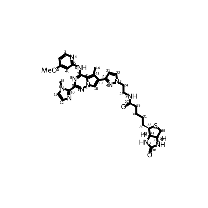 COc1ccnc(Nc2nc(-c3nccn3C)nn3cc(-c4ccn(CCNC(=O)CCCC[C@H]5SC[C@H]6NC(=O)N[C@H]65)n4)c(C)c23)c1